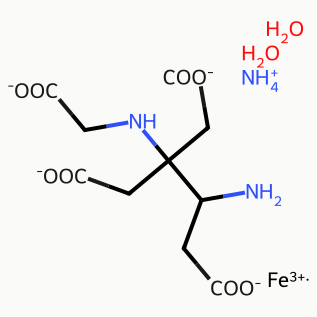 NC(CC(=O)[O-])C(CC(=O)[O-])(CC(=O)[O-])NCC(=O)[O-].O.O.[Fe+3].[NH4+]